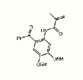 C=C(C)C(=O)Nc1cc(OC)c(OC)cc1C(=O)C(C)C